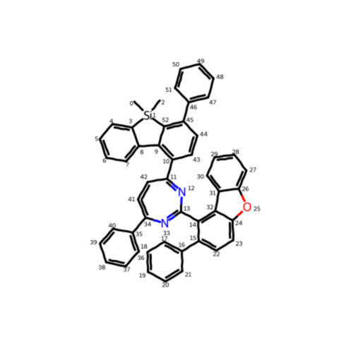 C[Si]1(C)c2ccccc2-c2c(C3=NC(c4c(-c5ccccc5)ccc5oc6ccccc6c45)=NC(c4ccccc4)=C=C3)ccc(-c3ccccc3)c21